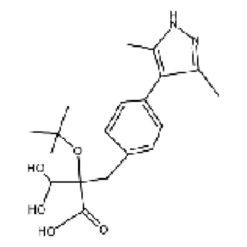 Cc1n[nH]c(C)c1-c1ccc(CC(OC(C)(C)C)(C(=O)O)C(O)O)cc1